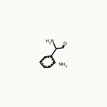 N.NC(C=O)c1ccccc1